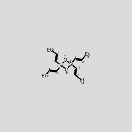 CCC=C[Si]1(C=CCC)O[Si](C=CCC)(C=CCC)O1